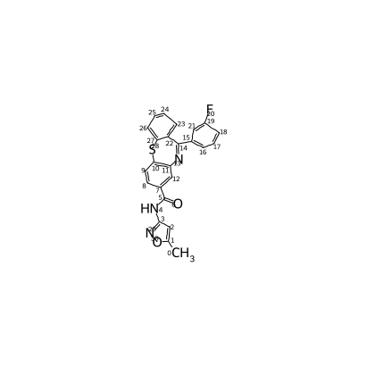 Cc1cc(NC(=O)c2ccc3c(c2)N=C(c2cccc(F)c2)c2ccccc2S3)no1